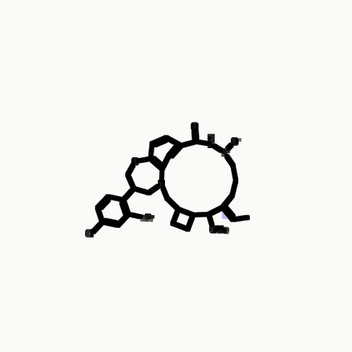 C/C=C1\CCC[S+]([O-])NC(=O)c2ccc3c(c2)N(CC(c2ccc(Cl)cc2CCC)CO3)CC2CCC2C1OC